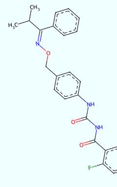 CC(C)C(=NOCc1ccc(NC(=O)NC(=O)c2c(F)cccc2F)cc1)c1ccccc1